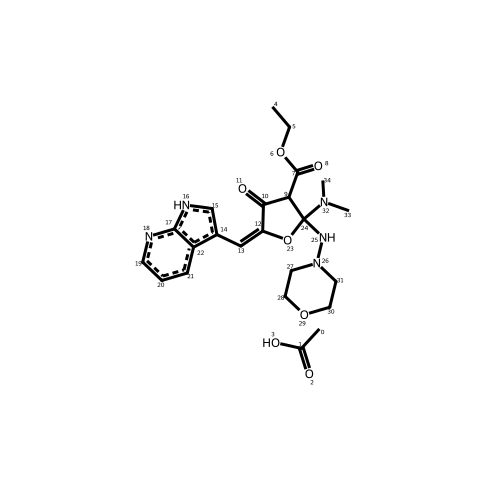 CC(=O)O.CCOC(=O)C1C(=O)C(=Cc2c[nH]c3ncccc23)OC1(NN1CCOCC1)N(C)C